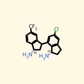 N[C@H]1CC(c2cc(Cl)cc3c2[C@@H](N)CC3)c2cc(C(F)(F)F)ccc21